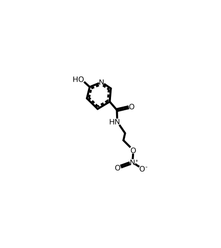 O=C(NCCO[N+](=O)[O-])c1ccc(O)nc1